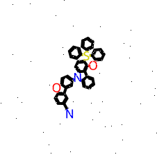 N#Cc1ccc2oc3ccc(-n4c5ccccc5c5c6c(ccc54)S(c4ccccc4)(c4ccccc4)c4ccccc4O6)cc3c2c1